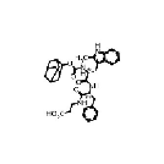 Cc1[nH]c2ccccc2c1C[C@@H](NC(=O)OC1C2CC3CC(C2)CC1C3)C(=O)N[C@@H](Cc1ccccc1)C(=O)NCCC(=O)O